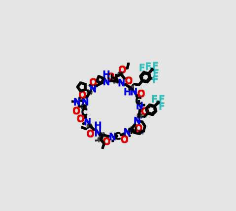 CCO[C@@H]1C[C@H]2C(=O)NC3(CCC3)C(=O)N(C)[C@@H](C3CCCC3)C(=O)N(C)[C@H](C(=O)N(C)C)CC(=O)N(C)[C@@H](CC)C(=O)N[C@@H]([C@@H](C)CC)C(=O)N(C)CC(=O)N(C)[C@H]3C/C=C\CCN(C3=O)[C@@H](Cc3ccc(C(F)(F)F)cc3)C(=O)N(C)CC(=O)N[C@@H](CCc3cc(F)c(C(F)(F)F)c(F)c3)C(=O)N2C1